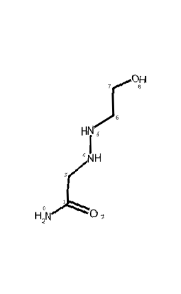 NC(=O)CNNCCO